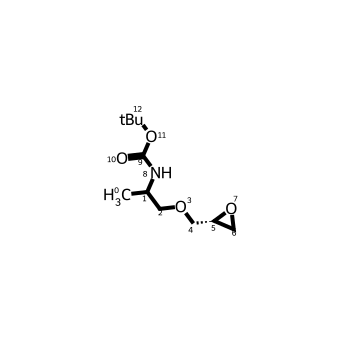 CC(COC[C@H]1CO1)NC(=O)OC(C)(C)C